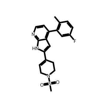 Cc1ccc(F)cc1-c1ccnc2[nH]c(C3=CCN(S(C)(=O)=O)CC3)cc12